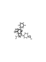 CCc1nc(C2CCC(OC)CC2)n2nc(-c3ccccc3)[nH]c(=O)c12